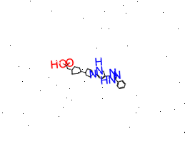 O=C(O)C[C@H]1CC[C@@H](C2CCN(C3=CC=C(c4nnc(-c5ccccc5)[nH]4)CN3)CC2)CC1